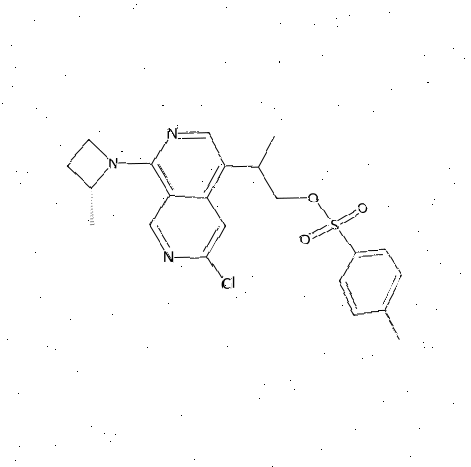 Cc1ccc(S(=O)(=O)OCC(C)c2cnc(N3CC[C@H]3C)c3cnc(Cl)cc23)cc1